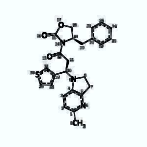 Cc1ccc2c(n1)CCN2[C@H](CC(=O)N1C(=O)OC[C@H]1Cc1ccccc1)c1ccsc1